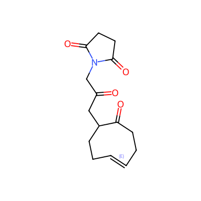 O=C(CC1CC/C=C/CCC1=O)CN1C(=O)CCC1=O